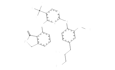 COc1cc(C[C@@H](O)CO)ccc1Nc1ncc(C(F)(F)F)c(Oc2cccc3c2C(=O)NC3)n1